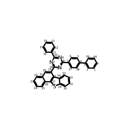 c1ccc(-c2ccc(-c3nc(-c4ccccc4)nc(-c4cc5ccccc5c5sc6ccccc6c45)n3)cc2)cc1